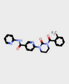 O=C(Nc1ccccn1)c1ccc(N2CCCN(C(=O)c3ccccc3C(F)(F)F)C2=O)nc1